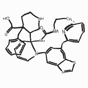 CCNC(=O)NC1(C2CNCCC2(C(=O)O)c2ccccc2)N=CC=CN1c1cc(-c2ccccn2)c2scnc2c1